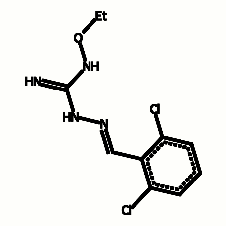 CCONC(=N)NN=Cc1c(Cl)cccc1Cl